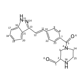 O=CC1CN(C(=O)c2ccc(C=Cc3n[nH]c4ccccc34)cc2)CCN1